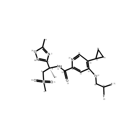 Cc1nc([C@](C)(CS(C)(=O)=O)NC(=O)c2cc(OCC(F)F)c(C3CC3)cn2)no1